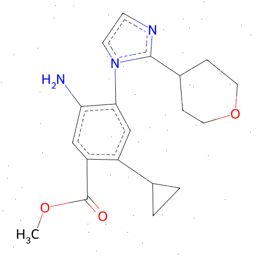 COC(=O)c1cc(N)c(-n2ccnc2C2CCOCC2)cc1C1CC1